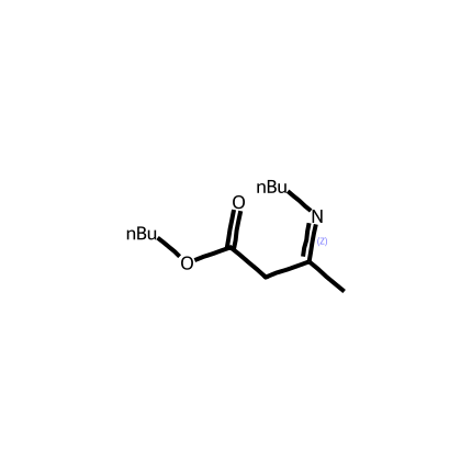 CCCC/N=C(/C)CC(=O)OCCCC